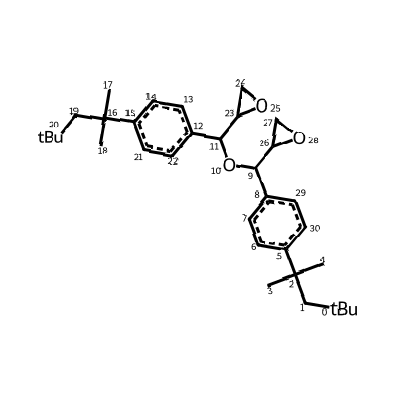 CC(C)(C)CC(C)(C)c1ccc(C(OC(c2ccc(C(C)(C)CC(C)(C)C)cc2)C2CO2)C2CO2)cc1